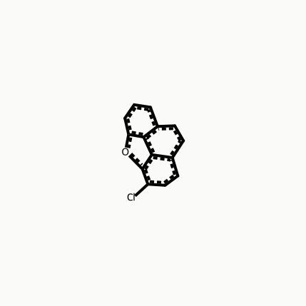 Clc1ccc2ccc3cccc4oc1c2c34